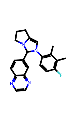 Cc1c(F)ccc(N2C=C3CCCN3C2c2ccc3nccnc3c2)c1C